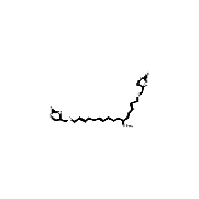 CCCCCCC(CC/C=C/COCC1CSC(=S)O1)CCC/C=C/CC/C=C/COCC1CSC(=S)O1